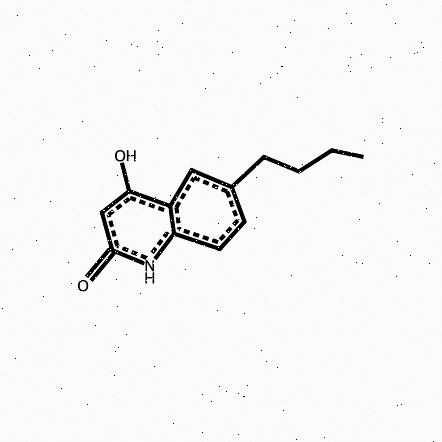 CCCCc1ccc2[nH]c(=O)cc(O)c2c1